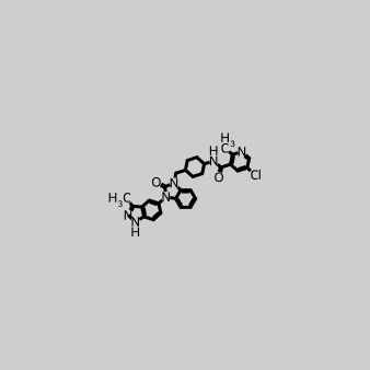 Cc1ncc(Cl)cc1C(=O)NC1CCC(Cn2c(=O)n(-c3ccc4[nH]nc(C)c4c3)c3ccccc32)CC1